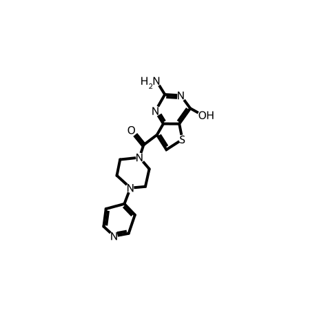 Nc1nc(O)c2scc(C(=O)N3CCN(c4ccncc4)CC3)c2n1